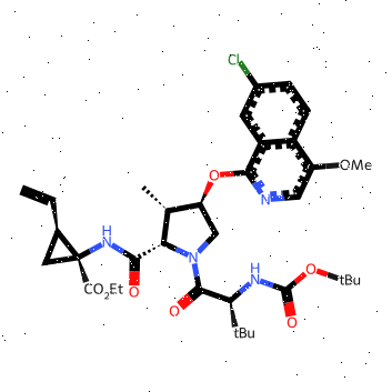 C=C[C@@H]1C[C@]1(NC(=O)[C@@H]1[C@H](C)[C@@H](Oc2ncc(OC)c3ccc(Cl)cc23)CN1C(=O)[C@@H](NC(=O)OC(C)(C)C)C(C)(C)C)C(=O)OCC